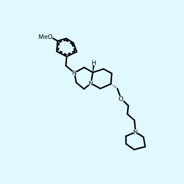 COc1cccc(CN2CCN3C[C@@H](COCCCN4CCCCC4)CC[C@H]3C2)c1